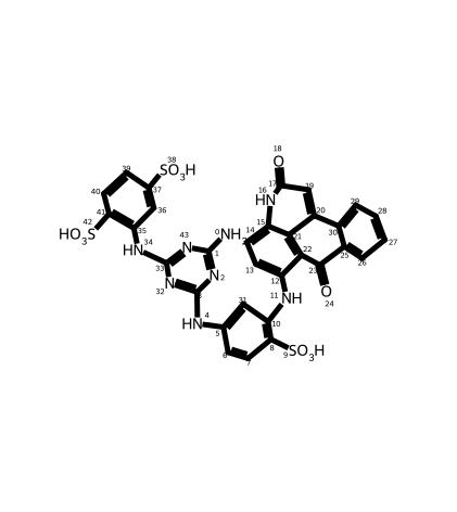 Nc1nc(Nc2ccc(S(=O)(=O)O)c(Nc3ccc4[nH]c(=O)cc5c4c3C(=O)c3ccccc3-5)c2)nc(Nc2cc(S(=O)(=O)O)ccc2S(=O)(=O)O)n1